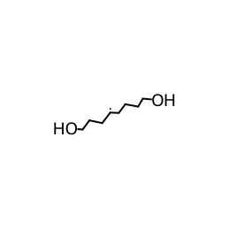 OCCC[CH]CCCCO